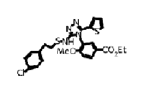 CCOC(=O)c1ccc(OC)c(-n2c(NSCCc3ccc(Cl)cc3)nnc2-c2cccs2)c1